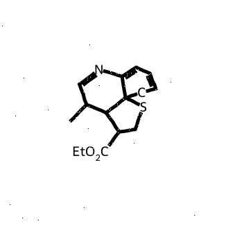 CCOC(=O)C1CSC23CC=CC=C2N=CC(C)C13